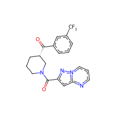 O=C(c1cccc(C(F)(F)F)c1)[C@H]1CCCN(C(=O)c2cc3ncccn3n2)C1